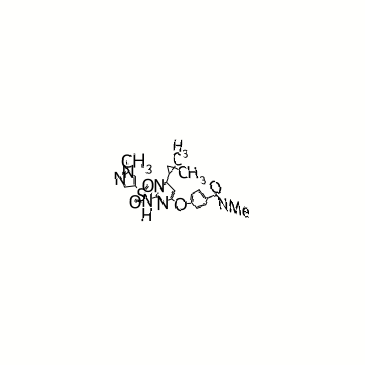 CNC(=O)c1ccc(Oc2cc(C3CC3(C)C)nc(NS(=O)(=O)c3cnn(C)c3)n2)cc1